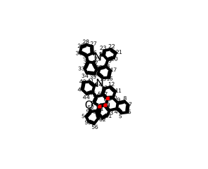 c1ccc(-c2ccccc2-c2ccc(N(c3ccc(-c4ccccc4-n4c5ccccc5c5ccccc54)cc3)c3ccccc3-c3cccc4c3oc3ccccc34)cc2)cc1